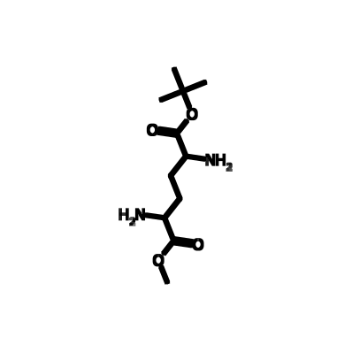 COC(=O)C(N)CCC(N)C(=O)OC(C)(C)C